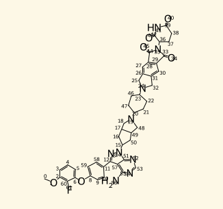 COc1cccc(Oc2ccc(-c3nn(C4CC5CN(C6CCC(N7Cc8cc9c(cc8C7)C(=O)N(C7CCC(=O)NC7=O)C9=O)CC6)CC5C4)c4ncnc(N)c34)cc2)c1F